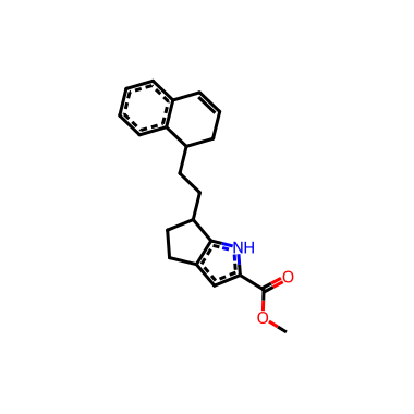 COC(=O)c1cc2c([nH]1)C(CCC1CC=Cc3ccccc31)CC2